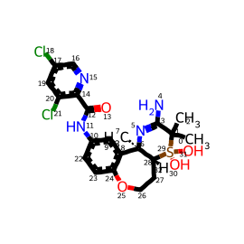 CC1(C)C(N)=N[C@]2(C)c3cc(NC(=O)c4ncc(Cl)cc4Cl)ccc3OCC[C@H]2S1(O)O